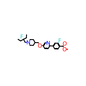 CCC(F)(CC)CN1CCC(COc2ccc(-c3ccc(C(=O)OC)c(F)c3)nc2)CC1